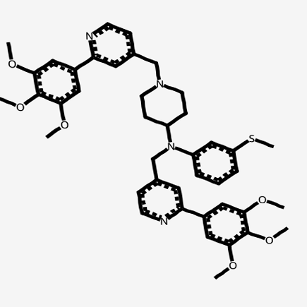 COc1cc(-c2cc(CN3CCC(N(Cc4ccnc(-c5cc(OC)c(OC)c(OC)c5)c4)c4cccc(SC)c4)CC3)ccn2)cc(OC)c1OC